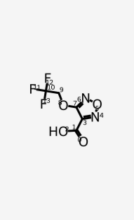 O=C(O)c1nonc1OCC(F)(F)F